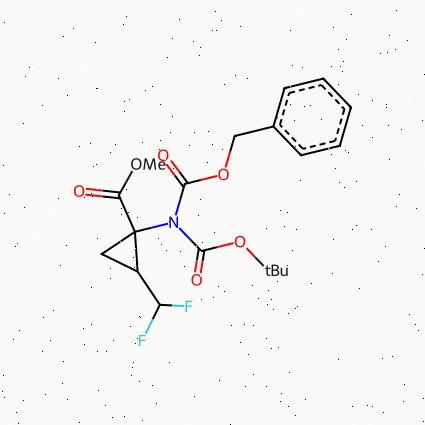 COC(=O)C1(N(C(=O)OCc2ccccc2)C(=O)OC(C)(C)C)CC1C(F)F